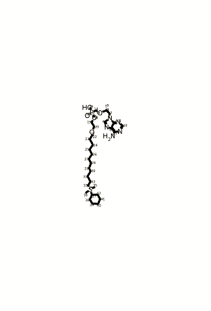 C[C@H](Cn1cnc2c(N)ncnc21)OCP(=O)(O)OCCOCCCCCCCCCCCCS(C)(C)C1CCCCC1